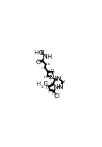 Cc1cc(Cl)n2ncnc(N3CC(CCC(=O)NO)C3)c12